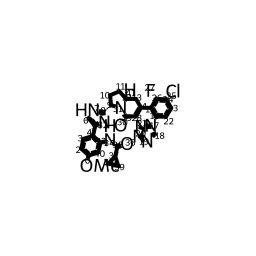 COc1ccc(-c2c[nH]c([C@@H]3CC[C@@H]4CC(c5c(-n6cnnn6)ccc(Cl)c5F)=CC(=O)N43)n2)c(NC(=O)C2CC2)c1